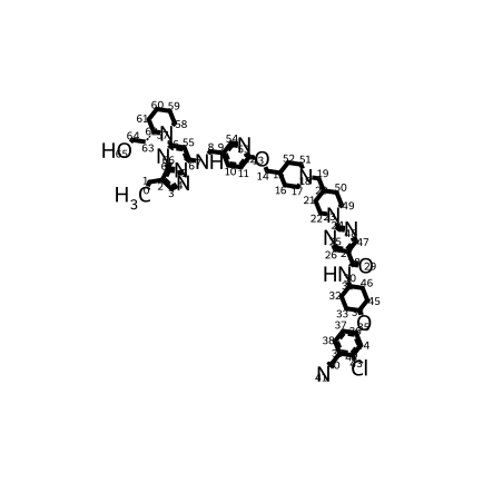 CCc1cnn2c(NCc3ccc(OCC4CCN(CC5CCN(c6ncc(C(=O)NC7CCC(Oc8ccc(C#N)c(Cl)c8)CC7)cn6)CC5)CC4)nc3)cc(N3CCCC[C@H]3CCO)nc12